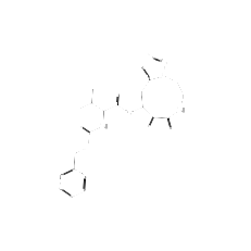 CC(C)C(NC(=O)OCc1ccccc1)C(=O)NC1Cc2cnnn2CCNC(=O)C1=O